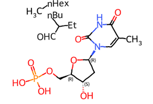 CCCCC(C=O)CC.CCCCCCC.Cc1cn([C@H]2C[C@H](O)[C@@H](COP(=O)(O)O)O2)c(=O)[nH]c1=O